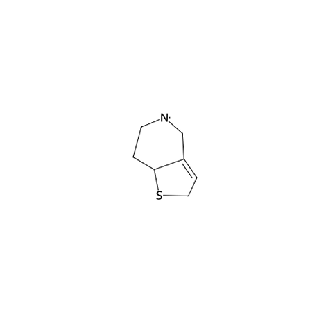 C1=C2C[N]CCC2SC1